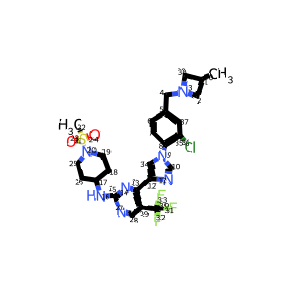 CC1CN(Cc2ccc(-n3cnc(-c4nc(NC5CCN(S(C)(=O)=O)CC5)ncc4C(F)(F)F)c3)c(Cl)c2)C1